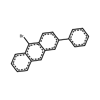 Brc1c2ccccc2cc2cc(-c3ccccc3)ccc12